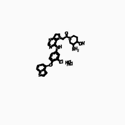 Cl.Cl.NC1CN(C(=O)Cn2ccc3ncnc(Nc4ccc(Oc5cccc6sccc56)c(Cl)c4)c32)CCC1O